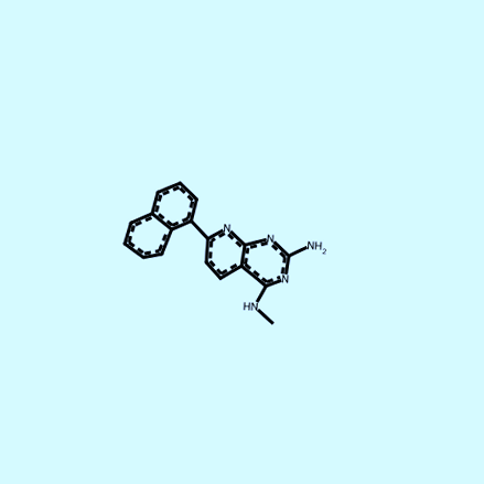 CNc1nc(N)nc2nc(-c3cccc4ccccc34)ccc12